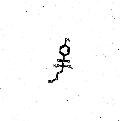 Cc1ccc(S(=O)(=O)C(C)(C)CCOC(C)(C)C)cc1